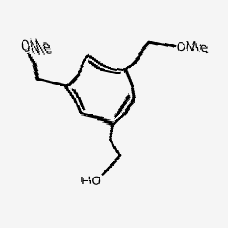 COCc1cc(CO)cc(COC)c1